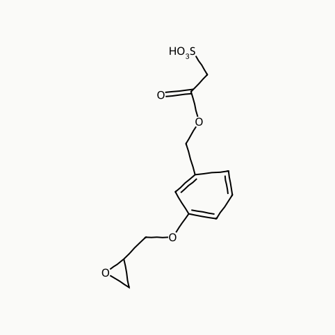 O=C(CS(=O)(=O)O)OCc1cccc(OCC2CO2)c1